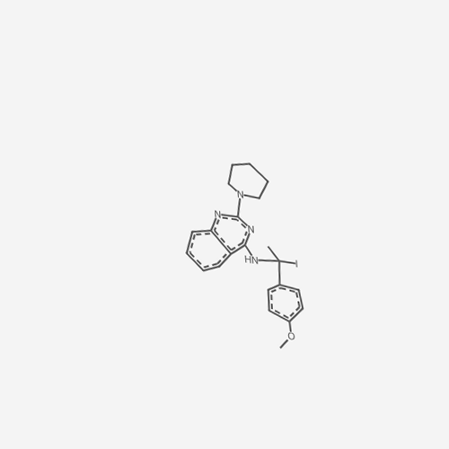 COc1ccc(C(C)(I)Nc2nc(N3CCCCC3)nc3ccccc23)cc1